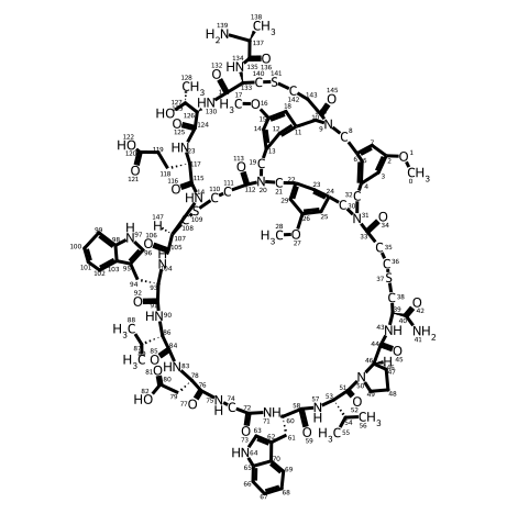 COc1cc2cc(c1)CN1Cc3cc(cc(OC)c3)CN3Cc4cc(cc(OC)c4)CN(C2)C(=O)CCSC[C@@H](C(N)=O)NC(=O)[C@@H]2CCCN2C(=O)[C@H](C(C)C)NC(=O)[C@H](Cc2c[nH]c4ccccc24)NC(=O)CNC(=O)[C@H](CC(=O)O)NC(=O)[C@H](C(C)C)NC(=O)[C@H](Cc2c[nH]c4ccccc24)NC(=O)[C@H](CSCCC3=O)NC(=O)[C@H](CCC(=O)O)NC(=O)[C@H]([C@@H](C)O)NC(=O)[C@@H](NC(=O)[C@H](C)N)CSCCC1=O